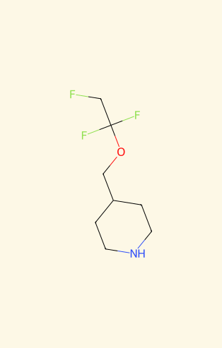 FCC(F)(F)OCC1CCNCC1